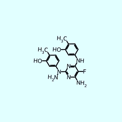 Cc1ccc(Nc2nc(N(N)c3ccc(C)c(O)c3)nc(N)c2F)cc1O